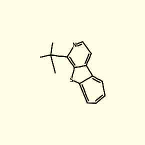 CC(C)(C)c1nccc2c1sc1ccccc12